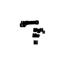 [Co].[MgH2].[Mn].[Ni].[O]=[AlH]